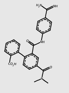 CN(C)C(=O)c1ccc(-c2ccccc2C(=O)O)c(C(=O)Nc2ccc(C(=N)N)cc2)c1